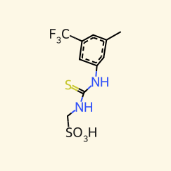 Cc1cc(NC(=S)NCS(=O)(=O)O)cc(C(F)(F)F)c1